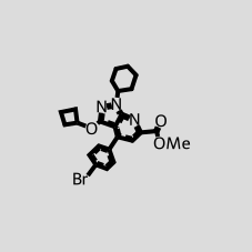 COC(=O)c1cc(-c2ccc(Br)cc2)c2c(OC3CCC3)nn(C3CCCCC3)c2n1